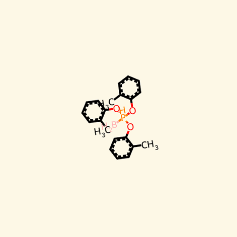 B[PH](Oc1ccccc1C)(Oc1ccccc1C)Oc1ccccc1C